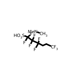 CNC.O=S(=O)(O)C(F)(F)C(F)(F)C(F)(F)CCC(F)(F)F